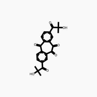 CC(C)(O)C(=O)c1ccc2c(c1)C(=O)C(=O)c1cc(C(=O)C(C)(C)O)ccc1C2=O